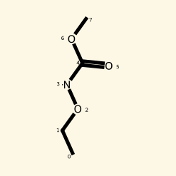 CCO[N]C(=O)OC